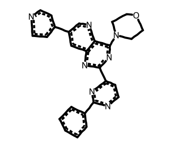 c1ccc(-c2nccc(-c3nc(N4CCOCC4)c4ncc(-c5ccncc5)cc4n3)n2)cc1